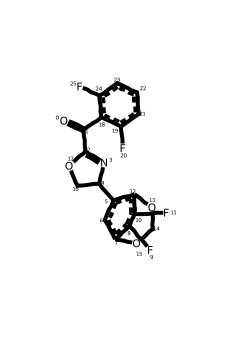 O=C(C1=NC(c2cc3c(F)c(F)c2OCO3)CO1)c1c(F)cccc1F